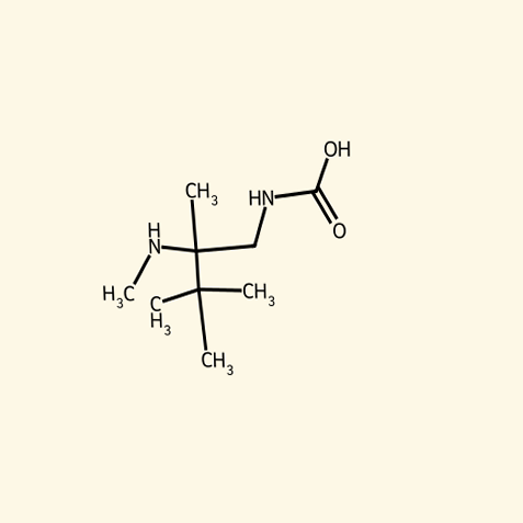 CNC(C)(CNC(=O)O)C(C)(C)C